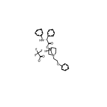 O=C(O[C@H]1C[N+]2(CCOc3ccccc3)CCC1CC2)[C@H](Nc1ccccc1)c1ccccc1.O=C([O-])C(F)(F)F